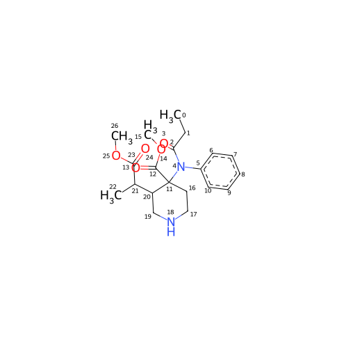 CCC(=O)N(c1ccccc1)C1(C(=O)OC)CCNCC1C(C)C(=O)OC